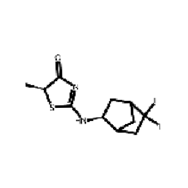 C[C@@H]1SC(N[C@H]2CC3CC2CC3(F)F)=NC1=O